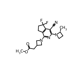 COC(=O)CC1CN(c2nc(N3CC[C@@H]3C)c(C#N)c3c2CCC3(F)F)C1